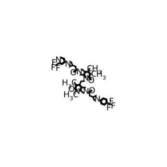 Cc1c2c(n(CCc3c4c(n(C)c(=O)c3C)CN(C(=O)CC3CN(c5ccc(C(F)(F)F)cc5)C3)C4)c(=O)c1C)CN(C(=O)CC1CN(c3ccnc(C(F)(F)F)c3)C1)C2